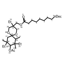 CCCCCCCCCCCCCCCCCC(=O)OCC1(CC)COC2(CC(C)(CC)C(OC(C)=O)C(C)(CC)C2C)OC1